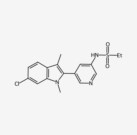 CCS(=O)(=O)Nc1cncc(-c2c(C)c3ccc(Cl)cc3n2C)c1